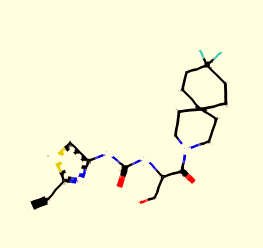 C#Cc1nc(NC(=O)NC(CO)C(=O)N2CCC3(CC2)CCC(F)(F)CC3)cs1